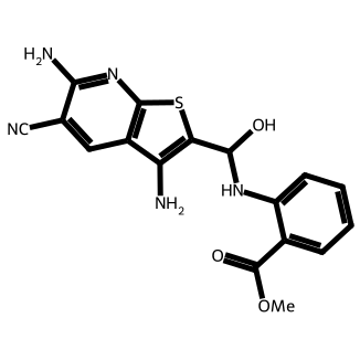 COC(=O)c1ccccc1NC(O)c1sc2nc(N)c(C#N)cc2c1N